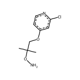 CC(C)(COc1ccnc(Cl)c1)ON